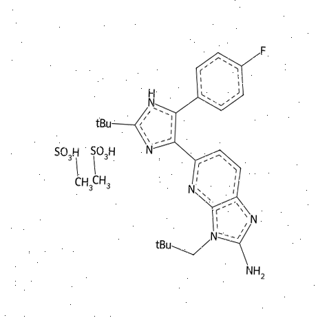 CC(C)(C)Cn1c(N)nc2ccc(-c3nc(C(C)(C)C)[nH]c3-c3ccc(F)cc3)nc21.CS(=O)(=O)O.CS(=O)(=O)O